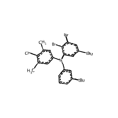 Cc1cc(N(c2cccc(C(C)(C)C)c2)c2cc(C(C)(C)C)cc(Br)c2Br)cc(C)c1Cl